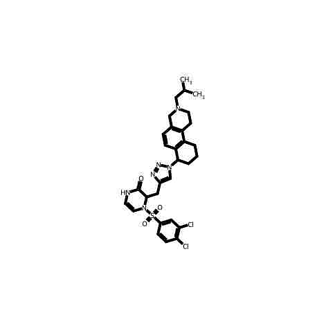 CC(C)CN1CCc2c(ccc3c2CCCC3n2cc(CC3C(=O)NC=CN3S(=O)(=O)c3ccc(Cl)c(Cl)c3)nn2)C1